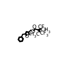 CC1(C(F)(F)F)C(C(=O)OCc2coc(Cc3ccccc3)c2)C1(C)C(F)(F)F